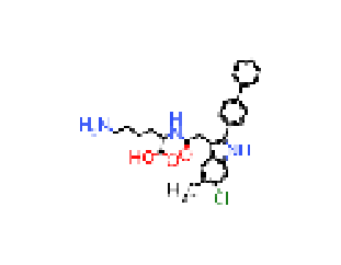 Cc1cc2c(CC(=O)NC(CCCCN)C(=O)O)c(-c3ccc(-c4ccccc4)cc3)[nH]c2cc1Cl